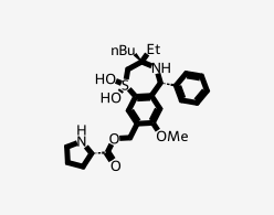 CCCC[C@]1(CC)CS(O)(O)c2cc(COC(=O)[C@@H]3CCCN3)c(OC)cc2[C@@H](c2ccccc2)N1